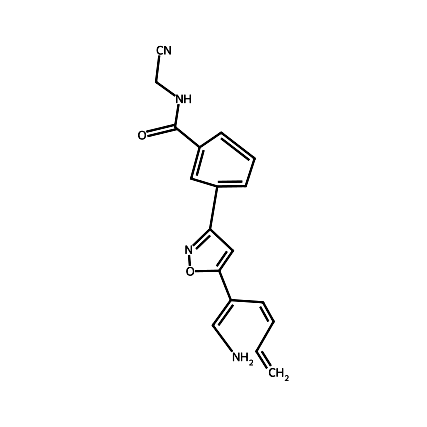 C=C/C=C\C(=C/N)c1cc(-c2cccc(C(=O)NCC#N)c2)no1